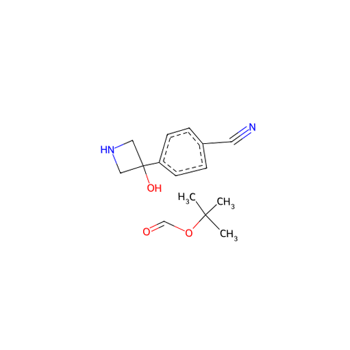 CC(C)(C)OC=O.N#Cc1ccc(C2(O)CNC2)cc1